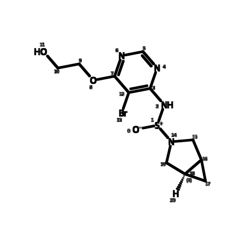 [O-][S+](Nc1ncnc(OCCO)c1Br)N1CC2C[C@H]2C1